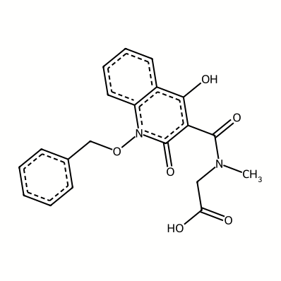 CN(CC(=O)O)C(=O)c1c(O)c2ccccc2n(OCc2ccccc2)c1=O